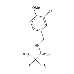 CCc1cc(CNC(=O)C(C)(F)C(=O)O)ccc1OC